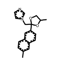 Cc1ccc2cc(C3(Cn4ccnc4)OCC(C)O3)ccc2c1